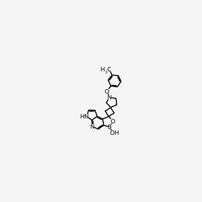 Cc1cccc(ON2CCC3(C2)CC2(C3)OB(O)c3cnc4[nH]ccc4c32)c1